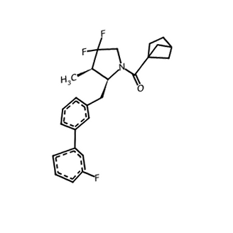 C[C@@H]1[C@H](Cc2cccc(-c3cccc(F)c3)c2)N(C(=O)C23CCC(C2)C3)CC1(F)F